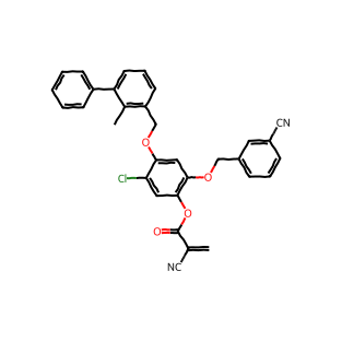 C=C(C#N)C(=O)Oc1cc(Cl)c(OCc2cccc(-c3ccccc3)c2C)cc1OCc1cccc(C#N)c1